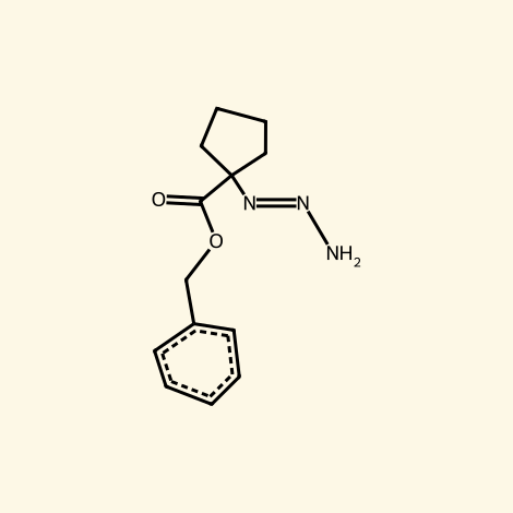 NN=NC1(C(=O)OCc2ccccc2)CCCC1